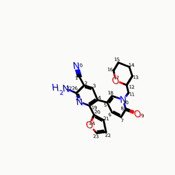 N#Cc1cc(-c2ccc(=O)n(CC3CCCCO3)c2)c(-c2ccco2)nc1N